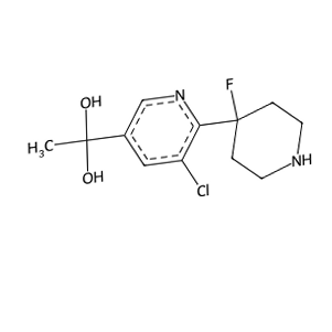 CC(O)(O)c1cnc(C2(F)CCNCC2)c(Cl)c1